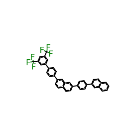 FC(F)(F)c1cc(-c2ccc(-c3ccc4ccc(-c5ccc(-c6ccc7ccccc7c6)cc5)cc4c3)cc2)cc(C(F)(F)F)c1